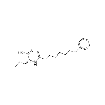 CCC[C@H](NC(=O)CCCCCCCc1ccccc1)C(=O)O